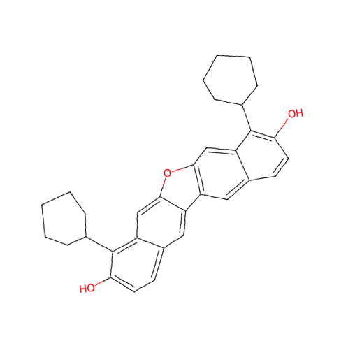 Oc1ccc2cc3c(cc2c1C1CCCCC1)oc1cc2c(C4CCCCC4)c(O)ccc2cc13